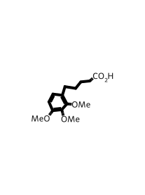 COc1ccc(CCCCC(=O)O)c(OC)c1OC